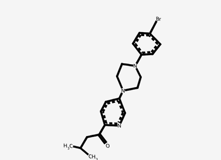 CC(C)CC(=O)c1ccc(N2CCN(c3ccc(Br)cc3)CC2)cn1